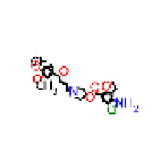 COc1ccc(C(=O)CCCN2CCC(OC(=O)c3cc(Cl)c(N)c4c3OCC4)CC2)cc1OC